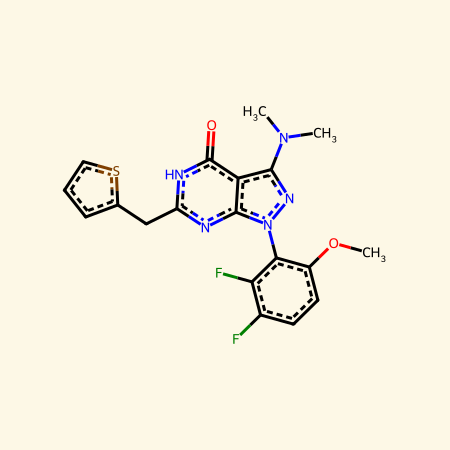 COc1ccc(F)c(F)c1-n1nc(N(C)C)c2c(=O)[nH]c(Cc3cccs3)nc21